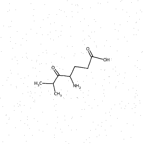 CC(C)C(=O)C(N)CCC(=O)O